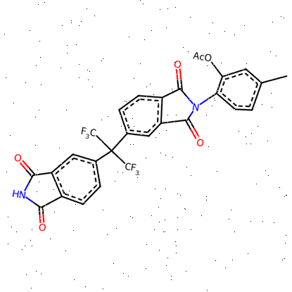 CC(=O)Oc1cc(C)ccc1N1C(=O)c2ccc(C(c3ccc4c(c3)C(=O)NC4=O)(C(F)(F)F)C(F)(F)F)cc2C1=O